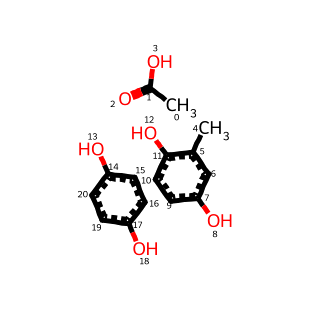 CC(=O)O.Cc1cc(O)ccc1O.Oc1ccc(O)cc1